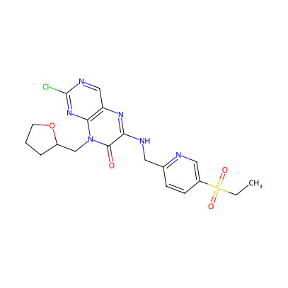 CCS(=O)(=O)c1ccc(CNc2nc3cnc(Cl)nc3n(CC3CCCO3)c2=O)nc1